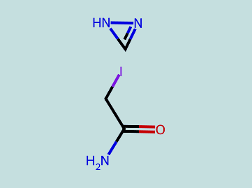 C1=NN1.NC(=O)CI